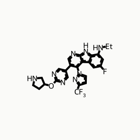 CCNc1cc(F)cc2c1[nH]c1ncc(-c3cnc(OC4CCNC4)nc3)c(-n3ccc(C(F)(F)F)n3)c12